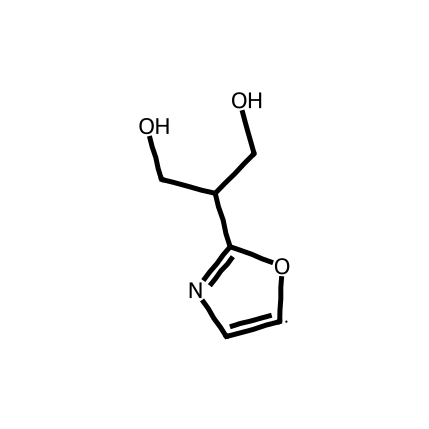 OCC(CO)c1nc[c]o1